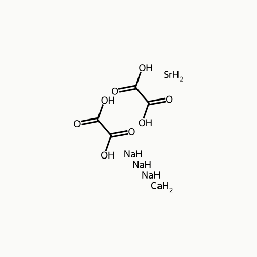 O=C(O)C(=O)O.O=C(O)C(=O)O.[CaH2].[NaH].[NaH].[NaH].[SrH2]